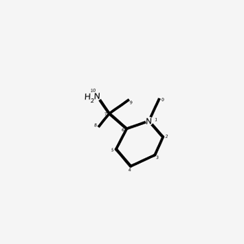 CN1CCCCC1C(C)(C)N